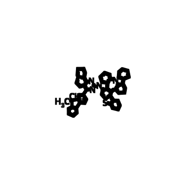 CC1(C)c2ccccc2-c2ccc(-c3nc(-n4c5cc6sc7ccccc7c6c6c7cccc8c9ccccc9n(c9cccc4c9c65)c87)nc4c3ccc3ccccc34)cc21